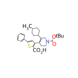 CC1CCC(C2=C(c3cc(-c4ccccc4)sc3C(=O)O)CCN(C(=O)OC(C)(C)C)C2)CC1